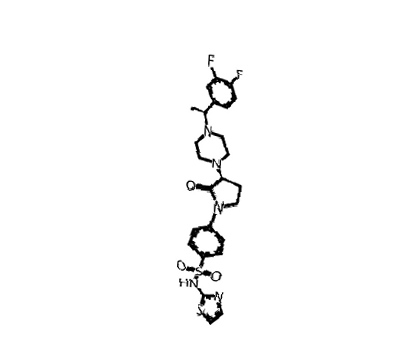 C[C@@H](c1ccc(F)c(F)c1)N1CCN([C@H]2CCN(c3ccc(S(=O)(=O)Nc4nccs4)cc3)C2=O)CC1